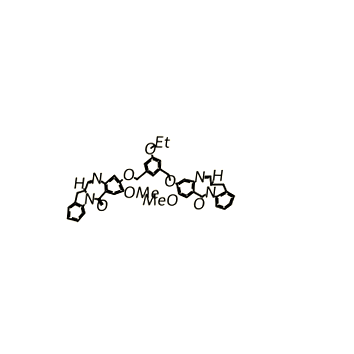 CCOc1cc(COc2cc3c(cc2OC)C(=O)N2c4ccccc4C[C@H]2C=N3)cc(COc2cc3c(cc2OC)C(=O)N2c4ccccc4C[C@H]2C=N3)c1